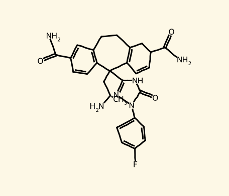 C[C@H](N)CC1(c2nn(-c3ccc(F)cc3)c(=O)[nH]2)C2=C(CCc3cc(C(N)=O)ccc31)CC(C(N)=O)C=C2